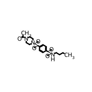 CCCCNS(=O)(=O)c1ccc(S(=O)(=O)N2CCN(C(C)=O)CC2)cc1